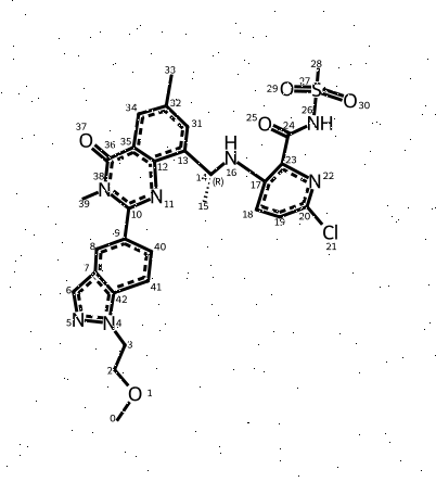 COCCn1ncc2cc(-c3nc4c([C@@H](C)Nc5ccc(Cl)nc5C(=O)NS(C)(=O)=O)cc(C)cc4c(=O)n3C)ccc21